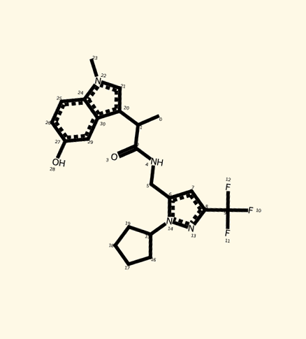 CC(C(=O)NCc1cc(C(F)(F)F)nn1C1CCCC1)c1cn(C)c2ccc(O)cc12